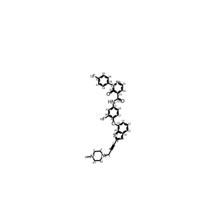 CN1CCN(CC#Cc2cc3cccc(Oc4ccc(NC(=O)c5ccnn(-c6ccc(F)cc6)c5=O)cc4F)c3s2)CC1